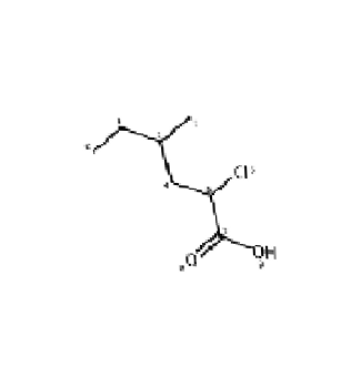 CCC(C)CC(Cl)C(=O)O